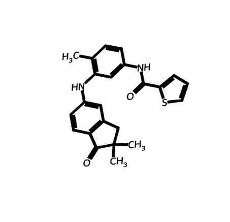 Cc1ccc(NC(=O)c2cccs2)cc1Nc1ccc2c(c1)CC(C)(C)C2=O